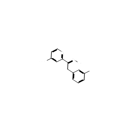 CCOC(=O)c1ccnc(/C(Cc2cccc(F)c2)=N/O)c1